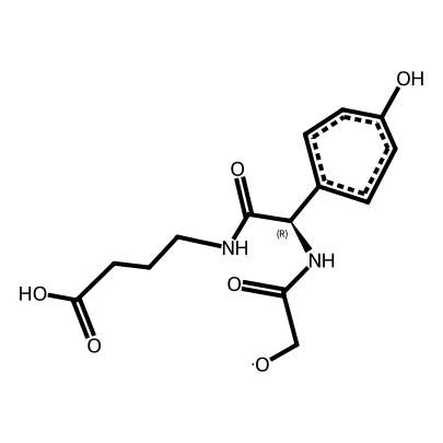 [O]CC(=O)N[C@@H](C(=O)NCCCC(=O)O)c1ccc(O)cc1